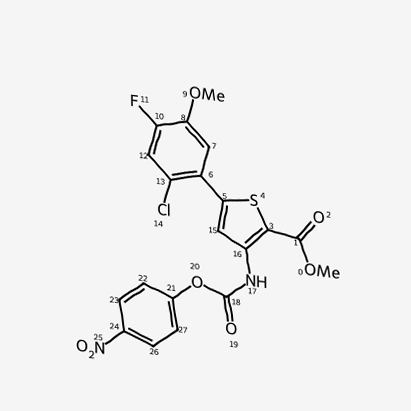 COC(=O)c1sc(-c2cc(OC)c(F)cc2Cl)cc1NC(=O)Oc1ccc([N+](=O)[O-])cc1